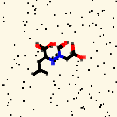 CC(C)C[C@H](NN(C=O)CC(=O)O)C(=O)O